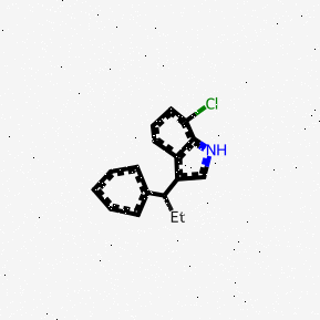 [CH2]CC(c1ccccc1)c1c[nH]c2c(Cl)cccc12